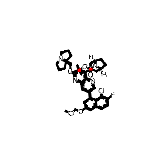 COCOc1cc(-c2cnc3c(N4C[C@H]5CC[C@@H](C4)N5C(=O)OC(C)(C)C)nc(OCC45CCCN4CCC5)nc3c2)c2c(Cl)c(F)ccc2c1